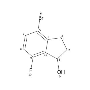 OC1CCc2c(Br)ccc(F)c21